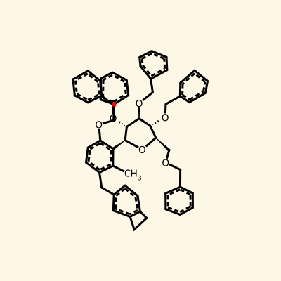 Cc1c(Cc2ccc3c(c2)CC3)ccc(OCc2ccccc2)c1[C@@H]1O[C@H](COCc2ccccc2)[C@@H](OCc2ccccc2)[C@H](OCc2ccccc2)[C@H]1OCc1ccccc1